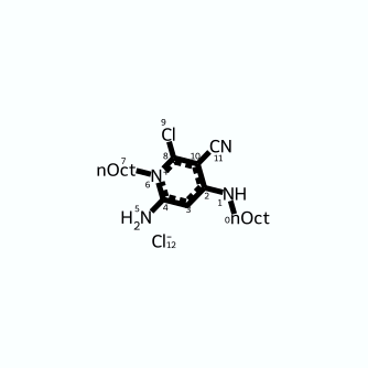 CCCCCCCCNc1cc(N)[n+](CCCCCCCC)c(Cl)c1C#N.[Cl-]